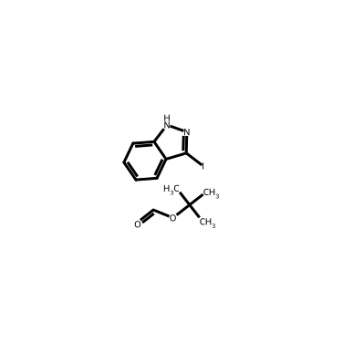 CC(C)(C)OC=O.Ic1n[nH]c2ccccc12